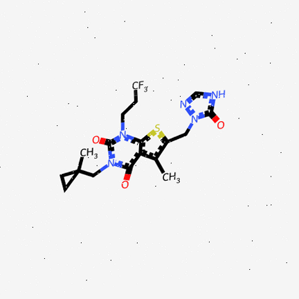 Cc1c(Cn2nc[nH]c2=O)sc2c1c(=O)n(CC1(C)CC1)c(=O)n2CCC(F)(F)F